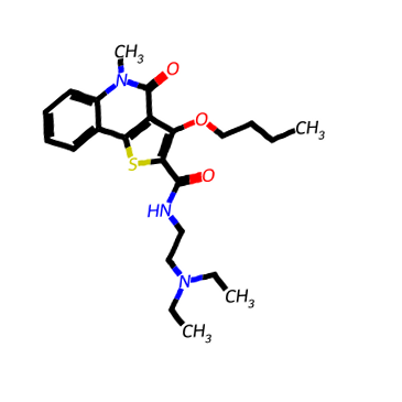 CCCCOc1c(C(=O)NCCN(CC)CC)sc2c1c(=O)n(C)c1ccccc21